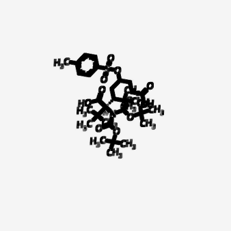 Cc1ccc(S(=O)(=O)OC(CCC(=O)O)CC(C(C)(C)C)[C@](C(=O)O)(N(C(=O)OC(C)(C)C)C(=O)OC(C)(C)C)C(C)(C)C)cc1